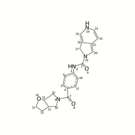 O=C(Nc1ccc(C(=O)N2CC3CCOC3C2)cc1)N1C=C2C=CNC=C2C1